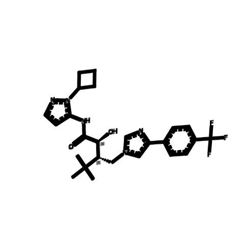 CC(C)(C)[C@@H](Cn1cnc(-c2ccc(C(F)(F)F)cc2)c1)[C@H](O)C(=O)Nc1ccnn1C1CCC1